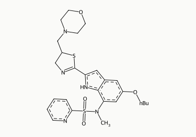 CCCCOc1cc(N(C)S(=O)(=O)c2ccccn2)c2[nH]c(C3=NCC(CN4CCOCC4)S3)cc2c1